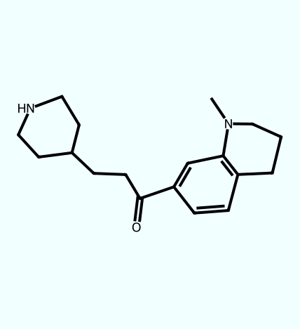 CN1CCCc2ccc(C(=O)CCC3CCNCC3)cc21